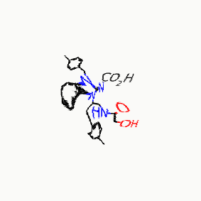 Cc1ccc(CC(CNC(=O)CO)n2/c(=N/C(=O)O)n(Cc3ccc(C)cc3)c3ccccc32)cc1